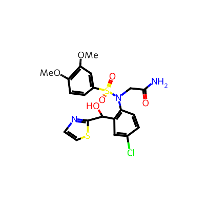 COc1ccc(S(=O)(=O)N(CC(N)=O)c2ccc(Cl)cc2C(O)c2nccs2)cc1OC